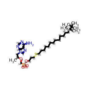 C[C@H](Cn1cnc2c(N)ncnc21)OCP(=O)(O)OCCCSCCCCCCCCCCCCC[Si](C)(C)C(C)(C)C